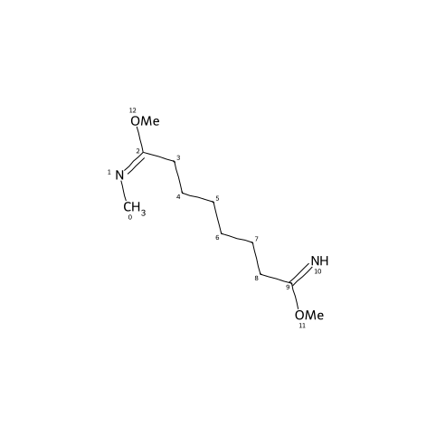 C/N=C(\CCCCCCC(=N)OC)OC